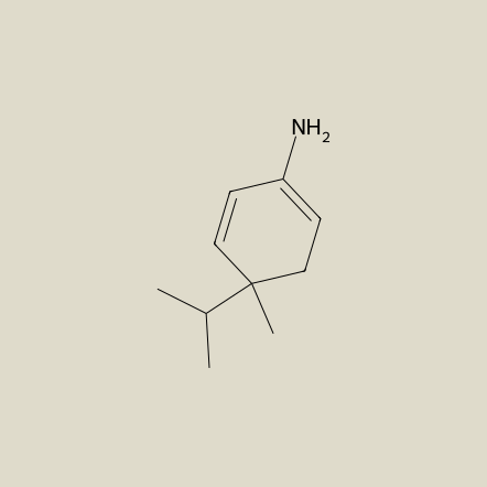 CC(C)C1(C)C=CC(N)=CC1